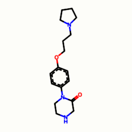 O=C1CNCCN1c1ccc(OCCCN2CCCC2)cc1